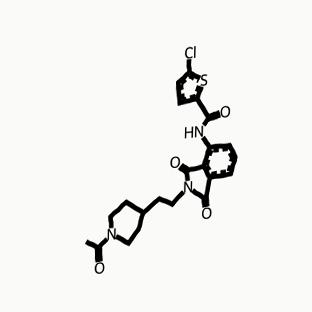 CC(=O)N1CCC(CCN2C(=O)c3cccc(NC(=O)c4ccc(Cl)s4)c3C2=O)CC1